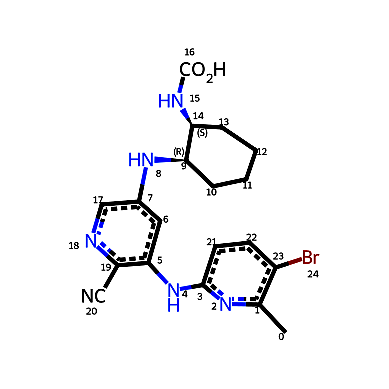 Cc1nc(Nc2cc(N[C@@H]3CCCC[C@@H]3NC(=O)O)cnc2C#N)ccc1Br